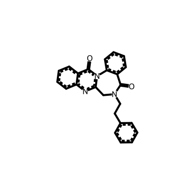 O=C1c2ccccc2-n2c(nc3ccccc3c2=O)CN1CCc1ccccc1